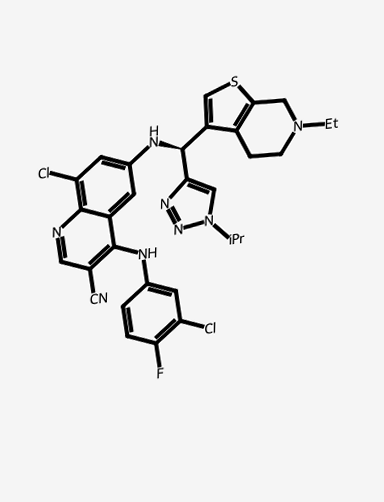 CCN1CCc2c([C@H](Nc3cc(Cl)c4ncc(C#N)c(Nc5ccc(F)c(Cl)c5)c4c3)c3cn(C(C)C)nn3)csc2C1